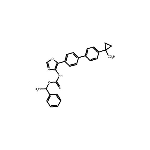 CC(OC(=O)Nc1ncoc1-c1ccc(-c2ccc(C3(C(=O)O)CC3)cc2)cc1)c1ccccc1